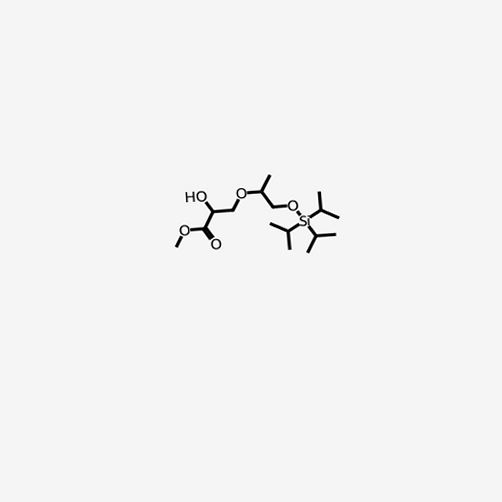 COC(=O)C(O)COC(C)CO[Si](C(C)C)(C(C)C)C(C)C